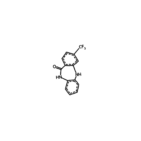 O=C1Nc2ccccc2Nc2cc(C(F)(F)F)ccc21